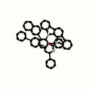 c1ccc(-c2ccc(-[n+]3cc(-c4ccccc4)nc(-n4c5ccccc5c5ccc6c7ccccc7n(-c7c(-c8ccccc8)cccc7-c7ccc8ccccc8c7)c6c54)n3)cc2)cc1